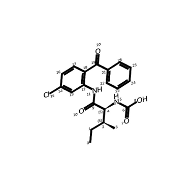 CC[C@H](C)[C@H](NC(=O)O)C(=O)Nc1cc(Cl)ccc1C(=O)c1ccccc1